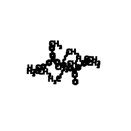 CCCCCCc1cc(C2CC=C(N(c3ccc(-c4ccc(C)cc4)cc3)c3ccc(-c4ccc(C(C)(C)C)cc4)cc3)C=C2C)c(CCCCCC)cc1-c1ccc(N(c2ccc(-c3ccc(C(C)(C)C)cc3)cc2)C2C=CC(C3=CCCC=C3)CC2)cc1C